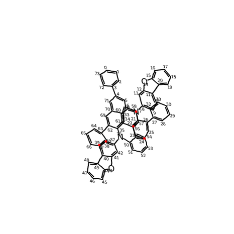 c1ccc(-c2cc(N(c3ccc4c(c3)oc3ccccc34)c3ccccc3-c3ccccc3)c3cc(N(c4ccc5c(c4)oc4ccccc45)c4ccccc4-c4ccccc4)c(-c4ccccc4)cc3c2)cc1